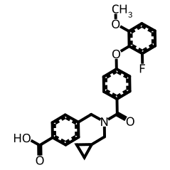 COc1cccc(F)c1Oc1ccc(C(=O)N(Cc2ccc(C(=O)O)cc2)CC2CC2)cc1